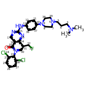 CN(C)CCCN1CCN(c2ccc(Nc3ncc4c(=O)n(-c5c(Cl)cccc5Cl)cc(CF)c4n3)cc2)CC1